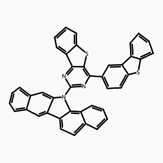 c1ccc2cc3c(cc2c1)c1ccc2ccccc2c1n3-c1nc(-c2ccc3sc4ccccc4c3c2)c2sc3ccccc3c2n1